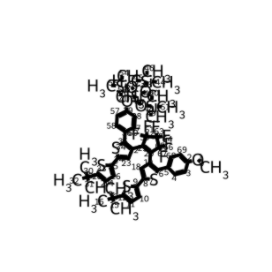 COc1ccc(-c2sc(-c3ccc(C(C)(C)C)s3)cc2C2=C(c3cc(-c4ccc(C(C)(C)C)s4)sc3-c3ccc(O[Si](O[Si](C)(C)C)(O[Si](C)(C)C)O[Si](C)(C)C)cc3)C(F)(F)C(F)(F)C2(F)F)cc1